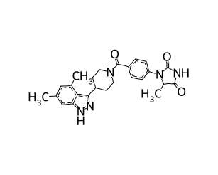 Cc1cc(C)c2c(C3CCN(C(=O)c4ccc(N5C(=O)NC(=O)C5C)cc4)CC3)n[nH]c2c1